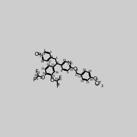 [O-][n+]1ccc(CC(c2ccc(OCc3ccc(OC(F)(F)F)cc3)nc2)c2ccc(OC(F)F)c(OC(F)F)c2)cc1